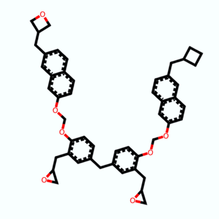 c1cc(OCOc2ccc3cc(CC4CCC4)ccc3c2)c(CC2CO2)cc1Cc1ccc(OCOc2ccc3ccc(CC4COC4)cc3c2)c(CC2CO2)c1